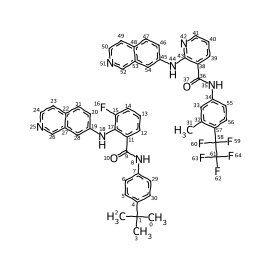 CC(C)(C)c1ccc(NC(=O)c2cccc(F)c2Nc2ccc3ccncc3c2)cc1.Cc1cc(NC(=O)c2cccnc2Nc2ccc3ccncc3c2)ccc1C(F)(F)C(F)(F)F